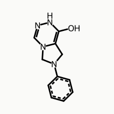 OC1=C2CN(c3ccccc3)CN2C=NN1